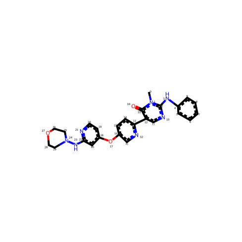 Cn1c(Nc2ccccc2)ncc(-c2ccc(Oc3ccnc(NN4CCOCC4)c3)cn2)c1=O